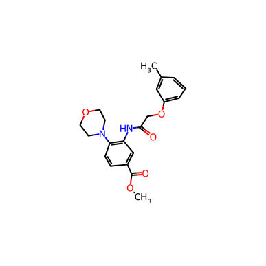 COC(=O)c1ccc(N2CCOCC2)c(NC(=O)COc2cccc(C)c2)c1